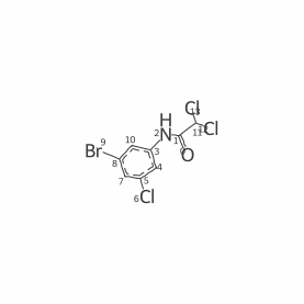 O=C(Nc1cc(Cl)cc(Br)c1)C(Cl)Cl